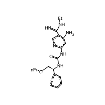 CCCOC[C@@H](NC(=O)Nc1cc(N)c(C(=N)NCC)cn1)c1ccccc1